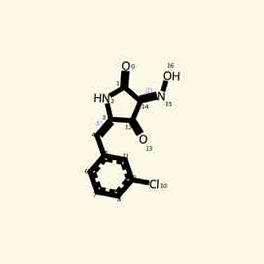 O=C1N/C(=C/c2cccc(Cl)c2)C(=O)/C1=N/O